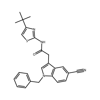 CC(C)(C)c1csc(NC(=O)Cc2cn(Cc3ccccc3)c3ccc(C#N)cc23)n1